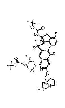 C[C@@H]1CN(c2nc(OC[C@]34CCCN3C[C@H](F)C4)nc3c(F)c(-c4ccc(F)c5sc(NC(=O)OC(C)(C)C)nc45)c(C(F)(F)F)cc23)[C@@H](C)CN1C(=O)OC(C)(C)C